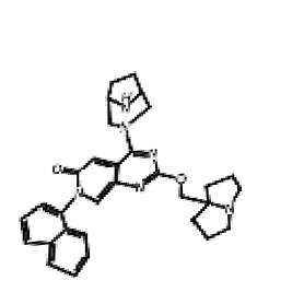 O=c1cc2c(N3CC4CCC(C3)N4)nc(OCC34CCCN3CCC4)nc2cn1-c1cccc2ccccc12